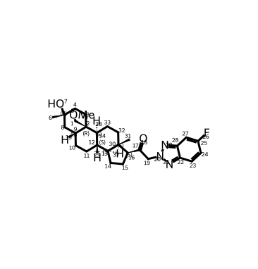 COC[C@]12CC[C@@](C)(O)C[C@H]1CC[C@H]1[C@@H]3CC[C@H](C(=O)Cn4nc5ccc(F)cc5n4)[C@@]3(C)CC[C@@H]12